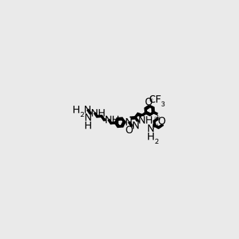 N=C(N)NCCCNCc1ccc(-n2cc3cc(-c4cc(C[C@H]5C[C@H](N)CCO5)cc(OC(F)(F)F)c4)[nH]c3nc2=O)cc1